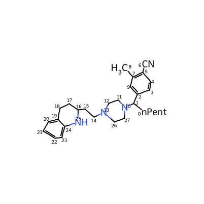 CCCCCC(c1ccc(C#N)c(C)c1)N1CCN(CCC2CCc3ccccc3N2)CC1